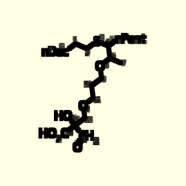 CCCCCCCCCCCCSC(CCCCC)C(C)OCCCOCC(O)([PH2]=O)C(=O)O